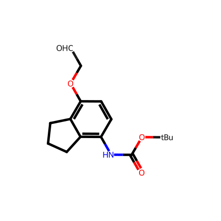 CC(C)(C)OC(=O)Nc1ccc(OCC=O)c2c1CCC2